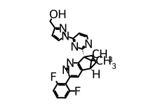 CC1(C)[C@H]2CC[C@]1(c1nccc(-n3ccc(CO)n3)n1)c1nnc(-c3c(F)cccc3F)cc12